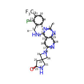 Cc1nc(N[C@H](C)c2cccc(C(F)(F)F)c2F)c2cc(N3CC4(CNC(=O)C4)C3)ncc2n1